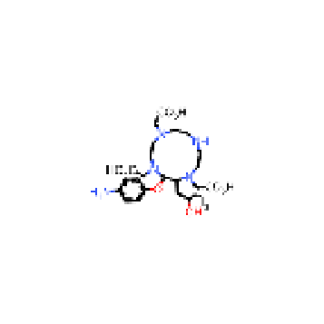 CC(O)CC1C(Oc2ccc(N)cc2)N(CC(=O)O)CCN(CC(=O)O)CCNCCN1CC(=O)O